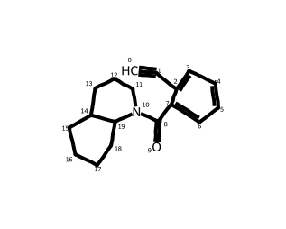 C#Cc1c[c]ccc1C(=O)N1CCCC2CCCCC21